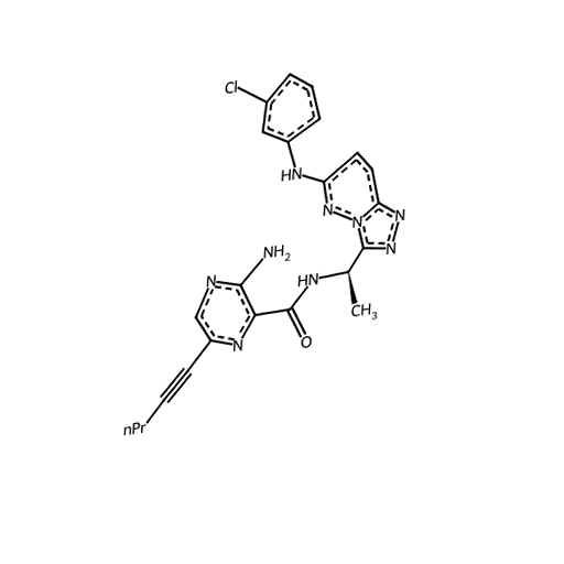 CCCC#Cc1cnc(N)c(C(=O)N[C@H](C)c2nnc3ccc(Nc4cccc(Cl)c4)nn23)n1